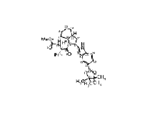 COC(=O)N[C@H](C(=O)N1[C@H](c2nc3cc(B4OC(C)(C)C(C)(C)O4)ccc3[nH]2)C[C@@H]2CCCC[C@@H]21)C(C)C